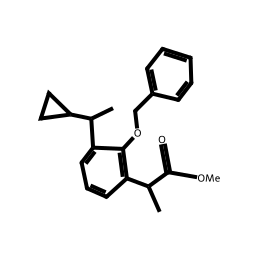 COC(=O)C(C)c1cccc(C(C)C2CC2)c1OCc1ccccc1